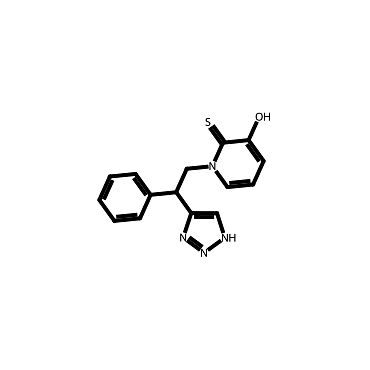 Oc1cccn(CC(c2ccccc2)c2c[nH]nn2)c1=S